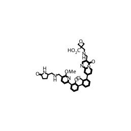 COc1nc(-c2cccc(-c3cccc(-c4ccn5c(=O)c(CNCC6(C(=O)O)COC6)cnc5c4)c3Cl)c2Cl)ccc1CNCC1CCC(=O)N1